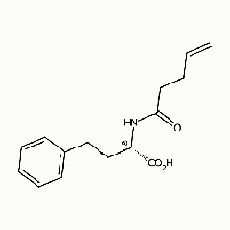 C=CCCC(=O)N[C@@H](CCc1ccccc1)C(=O)O